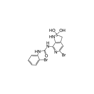 O=C(Nc1ccccc1Br)Nc1nc(Br)cc2c1NS(O)(O)C2